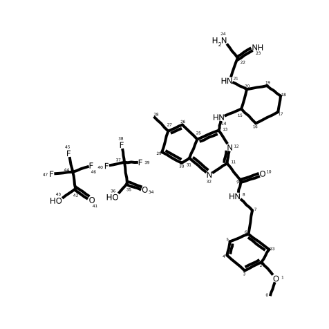 COc1cccc(CNC(=O)c2nc(NC3CCCCC3NC(=N)N)c3cc(C)ccc3n2)c1.O=C(O)C(F)(F)F.O=C(O)C(F)(F)F